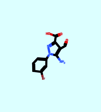 Nc1c(C=O)c(C(=O)O)nn1-c1cccc(Br)c1